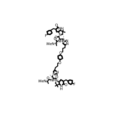 CN[C@@H](C)C(=O)N[C@H](C(=O)N1CC(C)(C)c2[nH]c(=O)c(Cc3ccc(F)cc3)cc21)[C@H](C)n1cc(CCCOc2ccc(OCCCc3cn([C@@H](C)[C@H](NC(=O)[C@H](C)NC)C(=O)N4CC(C)(C)c5[nH]c(=O)c(Cc6ccc(F)cc6)cc54)nn3)cc2)nn1